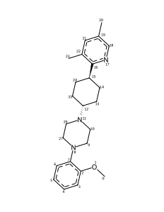 COc1ccccc1N1CCN([C@H]2CC[C@H](c3ncc(C)cc3C)CC2)CC1